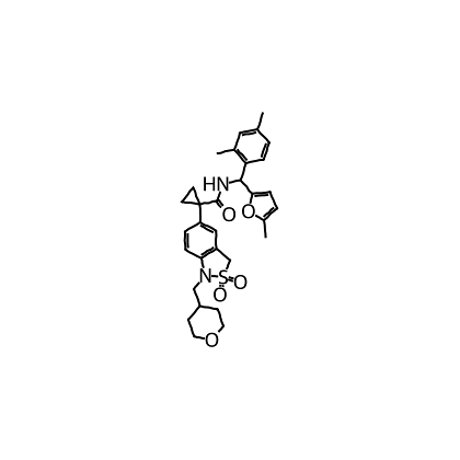 Cc1ccc(C(NC(=O)C2(c3ccc4c(c3)CS(=O)(=O)N4CC3CCOCC3)CC2)c2ccc(C)o2)c(C)c1